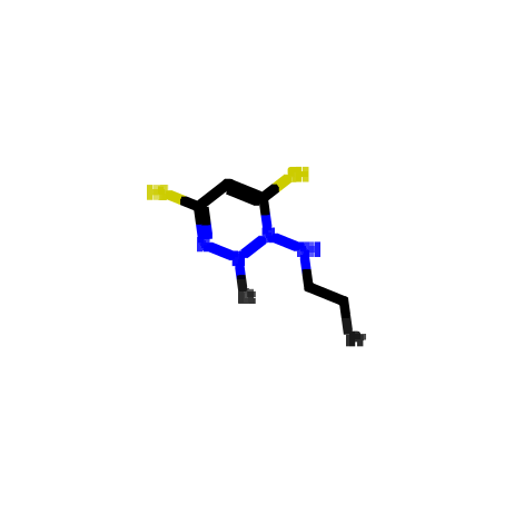 CCN1N=C(S)C=C(S)N1NCCC(C)C